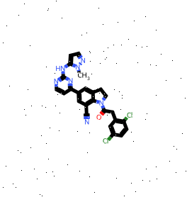 Cn1nccc1Nc1nccc(-c2cc(C#N)c3c(c2)CCN3C(=O)Cc2cc(Cl)ccc2Cl)n1